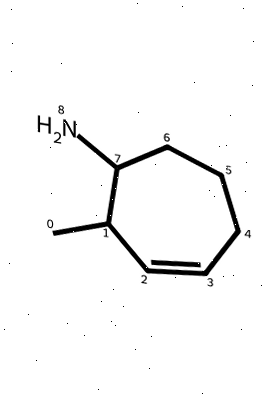 CC1C=CCCCC1N